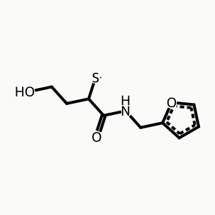 O=C(NCc1ccco1)C([S])CCO